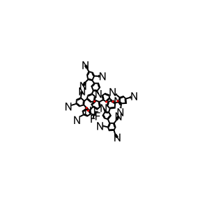 N#Cc1cc(C#N)c(-c2ccc3c(c2)c2cc(-c4c(C#N)cc(C#N)cc4C#N)ccc2n3-c2ccc(C#N)cc2-c2ccc(-c3ccc(C#N)cc3C(F)(F)F)cc2-n2c3ccc(-c4c(C#N)cc(C#N)cc4C#N)cc3c3cc(-c4c(C#N)cc(C#N)cc4C#N)ccc32)c(C#N)c1